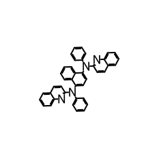 c1ccc(N(c2ccc3ccccc3n2)c2ccc(N(c3ccccc3)c3ccc4ccccc4n3)c3ccccc23)cc1